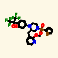 COc1ncccc1C[C@@H]1CN(S(=O)(=O)c2cccs2)CCN1c1ccc(C(O)(C(F)(F)F)C(F)(F)F)cc1